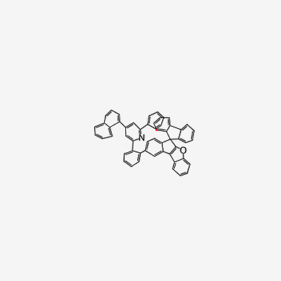 c1ccc(-c2cc(-c3cccc4ccccc34)cc(-c3ccccc3-c3ccc4c(c3)-c3c(oc5ccccc35)C43c4ccccc4-c4ccccc43)n2)cc1